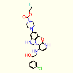 Cc1cc(N2CCN(C(=O)OCCF)CC2)cc2c1N(c1c(NCC(O)c3cccc(Cl)c3)cc[nH]c1=O)CN2